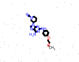 COCCOc1ccc(Nc2nc(N)c3ncn(C4CCCN(C#N)C4)c3n2)cc1